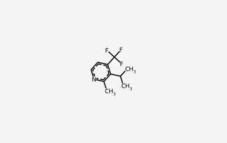 Cc1nccc(C(F)(F)F)c1C(C)C